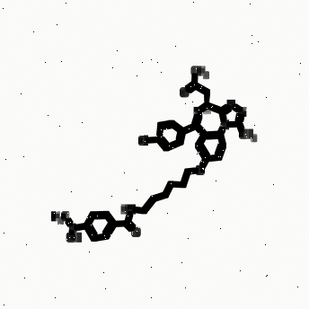 CB(O)c1ccc(C(=O)NCCCCCCOc2ccc3c(c2)C(c2ccc(Cl)cc2)=N[C@@H](CC(C)=O)c2nnc(C)n2-3)cc1